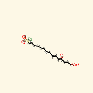 O=C(CCCO)CCCCCCCCCCCS(=O)(=O)Cl